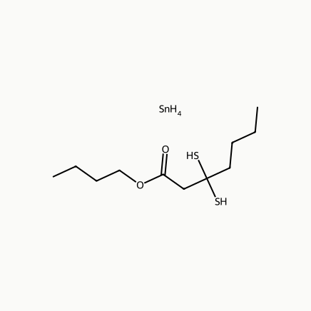 CCCCOC(=O)CC(S)(S)CCCC.[SnH4]